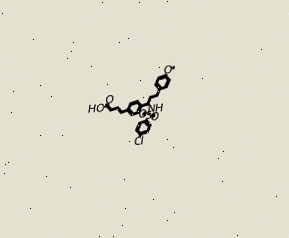 COc1ccc(CCC(NS(=O)(=O)c2ccc(Cl)cc2)c2ccc(CCCC(=O)O)cc2)cc1